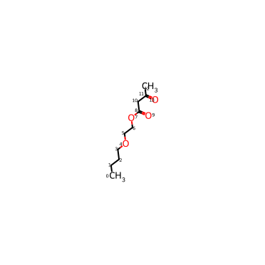 CCCCOCCOC(=O)CC(C)=O